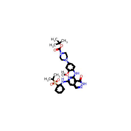 COc1cc(N2CCN(C(=O)OC(C)(C)C)CC2)ccc1Nc1nc(Nc2ccccc2S(=O)(=O)C(C)C)cc2cn[nH]c(=O)c12